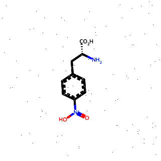 N[C@H](Cc1ccc([N+](=O)O)cc1)C(=O)O